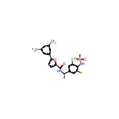 C[C@@H](NC(=O)c1ccc(-c2cc(C(F)(F)F)cc(C(F)(F)F)c2)o1)c1cc(F)c(NS(C)(=O)=O)c(F)c1